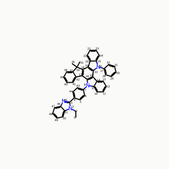 CCn1c(-c2ccc(-n3c4ccccc4c4c3c3c(c5c6ccccc6n(-c6ccccc6)c54)C(C)(C)c4ccccc4-3)cc2)nc2ccccc21